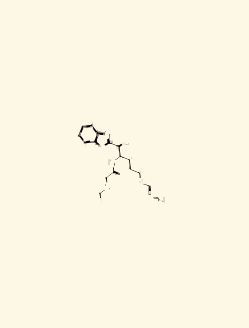 CC(=O)CNCC(=O)NC(CCCNC=NN)C(=O)c1nc2ccccc2s1